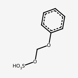 O=S(=O)(O)OCOc1ccccc1